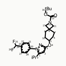 CC(C)c1cc(OC2CCC3(CC2)CN(C(=O)OC(C)(C)C)C3)nn1-c1ccc(C(F)F)cc1